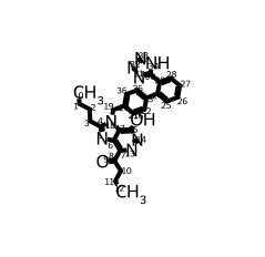 CCCCc1nc2c(C(=O)CCC)nnc(O)c2n1Cc1ccc(-c2ccccc2-c2nnn[nH]2)cc1